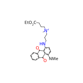 CCOC(=O)CCC[N+](C)(C)CCCNc1ccc(NC)c2c1C(=O)c1ccccc1C2=O